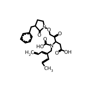 C=CC=C(C=CC)CN(C(=O)O)C(CC(=O)O)C(=O)CON1CCC(Cc2ccccc2)C1=O